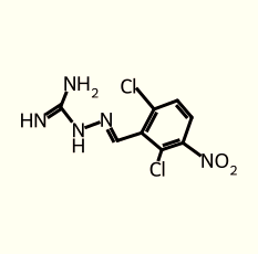 N=C(N)NN=Cc1c(Cl)ccc([N+](=O)[O-])c1Cl